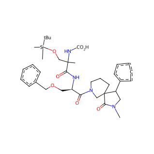 CN1CC(c2ccccc2)C2(CCCN(C(=O)[C@@H](COCc3ccccc3)NC(=O)C(C)(CO[Si](C)(C)C(C)(C)C)NC(=O)O)C2)C1=O